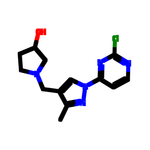 Cc1nn(-c2ccnc(Cl)n2)cc1CN1CCC(O)C1